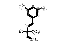 C=C[C@](CC)(N=Cc1cc(C(F)(F)F)cc(C(F)(F)F)c1)C(=O)O